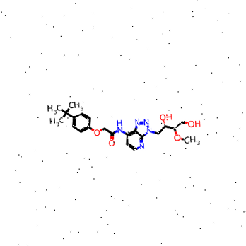 CO[C@H](CO)[C@@H](O)Cn1nnc2c(NC(=O)COc3ccc(C(C)(C)C)cc3)ccnc21